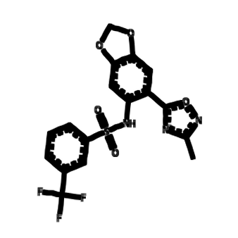 Cc1noc(-c2cc3c(cc2NS(=O)(=O)c2cccc(C(F)(F)F)c2)OCO3)n1